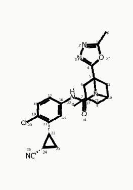 Cc1nnc(C23CC(C)CC(C2)N3C(=O)Nc2ccc(Cl)c([C@@H]3C[C@@H]3C#N)c2)o1